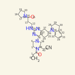 C=CC(=O)N1CCN(c2nc(NCCC(=O)N3CCCC3)nc3c2CCC(N2CCCc4ccccc42)C3)CC1CC#N